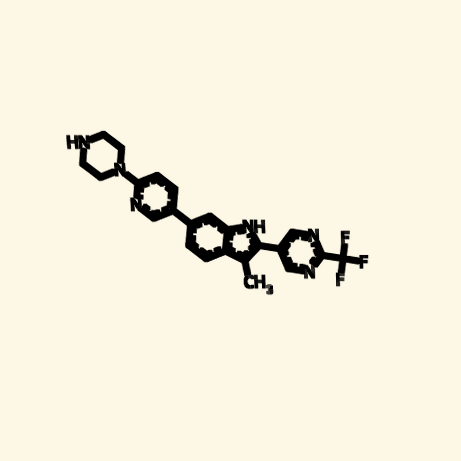 Cc1c(-c2cnc(C(F)(F)F)nc2)[nH]c2cc(-c3ccc(N4CCNCC4)nc3)ccc12